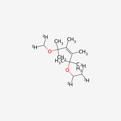 [2H]C([2H])OC(C)(C)/C(C)=C(/C)C(C)(C)OC([2H])C([2H])[2H]